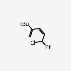 C=C(/C=C\C(Cl)CC)C(C)(C)C